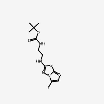 CC(C)(C)OC(=O)NCCNc1nn2c(I)cnc2s1